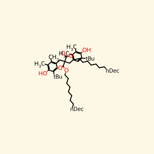 CCCCCCCCCCCCCCCCCCOC(=O)C(Cc1cc(C(C)(C)C)c(O)c(C)c1C)(Cc1cc(C(C)(C)C)c(O)c(C)c1C)C(=O)OCCCCCCCCCCCCCCCCCC